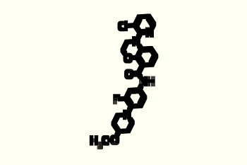 COC1CCN(c2ccc(NC(=O)c3cccc4c3OCCN4c3ncccc3Cl)cc2F)CC1